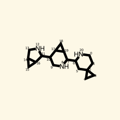 C1CC2(CC2)CC(C2NCC(C3NCC4CC43)C3CC32)N1